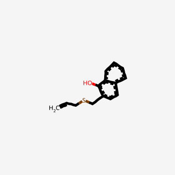 C=CCSCc1ccc2ccccc2c1O